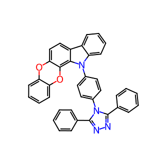 c1ccc(-c2nnc(-c3ccccc3)n2-c2ccc(-n3c4ccccc4c4ccc5c(c43)Oc3ccccc3O5)cc2)cc1